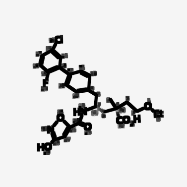 CCOCC[C@](C)(C[C@@H](Cc1ccc(-c2cc(Cl)ccc2F)cc1)NC(=O)c1cc(O)no1)C(=O)O